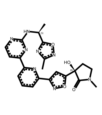 Cc1noc([C@H](C)Nc2nccc(-c3cccc(-c4cc([C@]5(O)CCN(C)C5=O)on4)n3)n2)n1